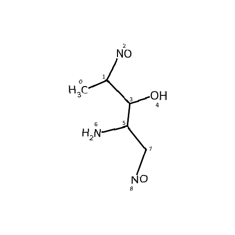 CC(N=O)C(O)C(N)CN=O